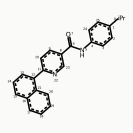 CC(C)c1ccc(NC(=O)c2ccc(-c3cccc4ccccc34)nc2)cc1